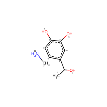 CC(O)c1ccc(O)c(O)c1.CN